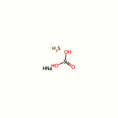 O=[Si](O)O.S.[NaH]